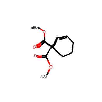 CCCCOC(=O)C1(C(=O)OCCCC)C=CCCC1